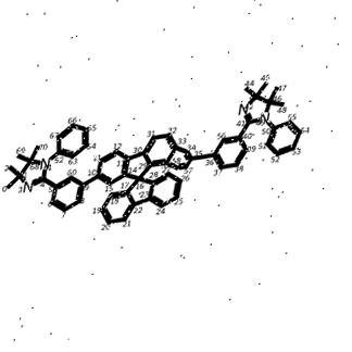 CC1(C)N=C(c2cccc(-c3ccc4c(c3)C3(c5ccccc5-c5ccccc53)c3c-4ccc4cc(-c5cccc(C6=NC(C)(C)C(C)(C)N6c6ccccc6)c5)ccc34)c2)N(c2ccccc2)C1(C)C